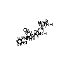 O=[PH](CP(=O)(O)O)OC[C@H]1O[C@@H](n2nnc3c(NCc4ccccc4Cl)nc(Cl)nc32)C[C@@H]1O